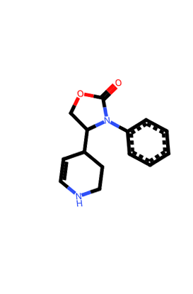 O=C1OCC(C2C=CNCC2)N1c1ccccc1